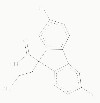 N#CCCC1(C(N)=O)c2ccc(Cl)cc2-c2ccc(Cl)cc21